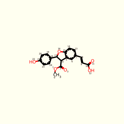 COC(=O)C1c2cc(C=CC(=O)O)ccc2OC1c1ccc(O)cc1